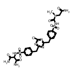 CN(CC(N)=O)C(=O)NS(=O)(=O)c1ccc(Cc2nc(Cl)nc(Cc3ccc(S(=O)(=O)NC(C(N)=O)C(N)=O)cc3)n2)cc1